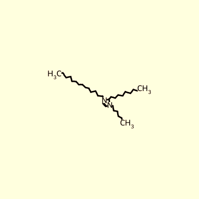 CCCCCCCCCCCCCCN1C=CN(CCCCCC)C1CCCCCCCCC